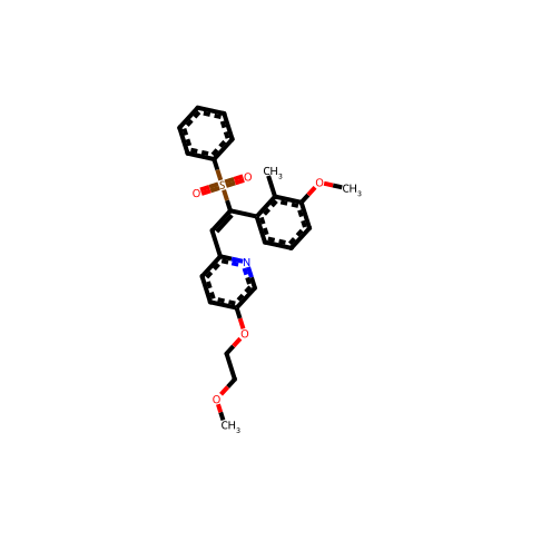 COCCOc1ccc(/C=C(\c2cccc(OC)c2C)S(=O)(=O)c2ccccc2)nc1